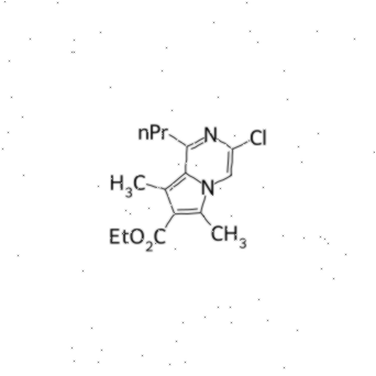 CCCc1nc(Cl)cn2c(C)c(C(=O)OCC)c(C)c12